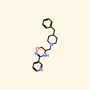 c1ccc(CC2CCN(CC3CON=C(c4cccnc4)N3)CC2)cc1